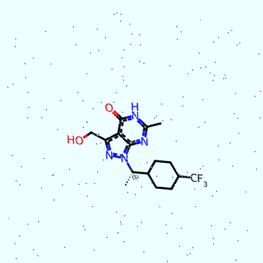 Cc1nc2c(c(CO)nn2[C@@H](C)C2CCC(C(F)(F)F)CC2)c(=O)[nH]1